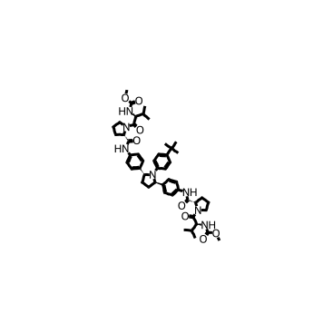 COC(=O)N[C@H](C(=O)N1CCC[C@H]1C(=O)Nc1ccc([C@H]2CC[C@H](c3ccc(NC(=O)[C@@H]4CCCN4C(=O)[C@@H](NC(=O)OC)C(C)C)cc3)N2c2ccc(C(C)(C)C)cc2)cc1)C(C)C